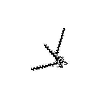 CCCCCCCCCCCCCCCCCCC(=O)OC(CCCCCCCCCCC)CC(=O)N[C@H]1C(O)O[C@H](CO)[C@@H](OS(=O)(=O)O)[C@@H]1OC(=O)CCCCCCCCCCCCCCCCCC